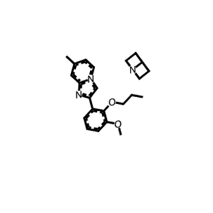 C1CN2CCC12.CCCOc1c(OC)cccc1-c1cn2ccc(C)cc2n1